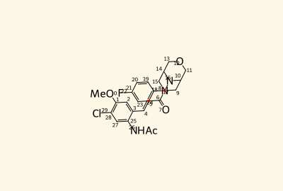 COc1cc(/C=C/C(=O)N2CC3COCC(C2)N3Cc2ccc(F)cc2)c(NC(C)=O)cc1Cl